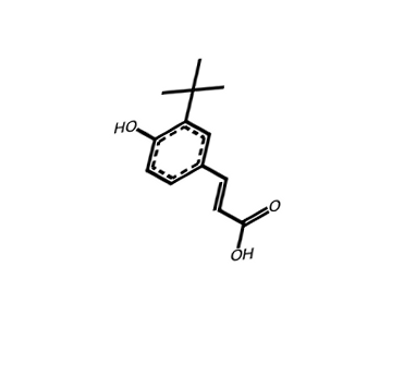 CC(C)(C)c1cc(C=CC(=O)O)ccc1O